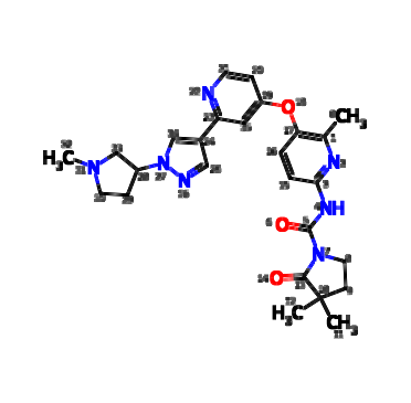 Cc1nc(NC(=O)N2CCC(C)(C)C2=O)ccc1Oc1ccnc(-c2cnn(C3CCN(C)C3)c2)c1